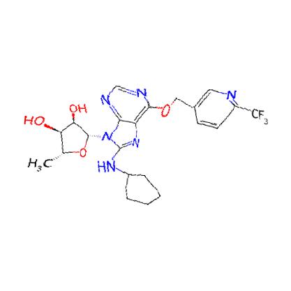 C[C@H]1O[C@@H](n2c(NC3CCCC3)nc3c(OCc4ccc(C(F)(F)F)nc4)ncnc32)[C@H](O)[C@@H]1O